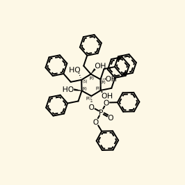 O=P(Oc1ccccc1)(Oc1ccccc1)O[C@@H]1[C@](O)(Cc2ccccc2)[C@@](O)(Cc2ccccc2)[C@](O)(Cc2ccccc2)[C@@](O)(Cc2ccccc2)[C@@]1(O)Cc1ccccc1